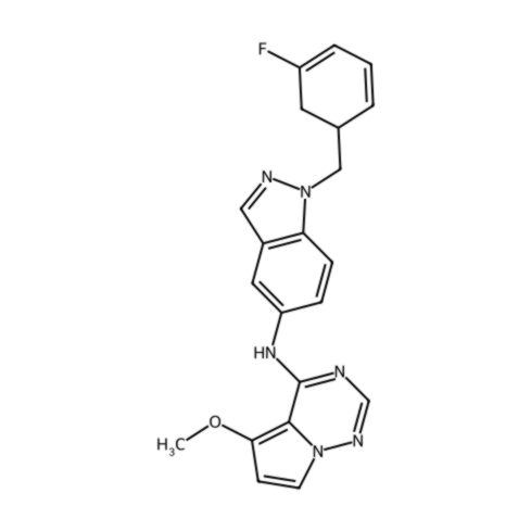 COc1ccn2ncnc(Nc3ccc4c(cnn4CC4C=CC=C(F)C4)c3)c12